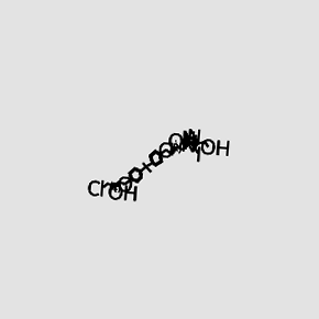 CC(C)(c1ccc(OC[C@@H](O)CCl)cc1)c1ccc(OC[C@H](O)Cn2nnc(CO)c2I)cc1